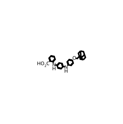 O=C(O)c1ccccc1Nc1ccc(Nc2ccc(OCC34CC5CC(CC(C5)C3)C4)cc2)cc1